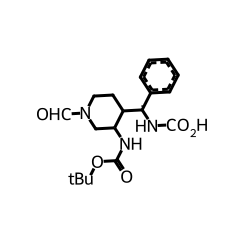 CC(C)(C)OC(=O)NC1CN(C=O)CCC1[C](NC(=O)O)c1ccccc1